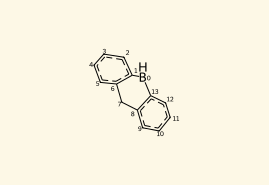 B1c2ccccc2Cc2ccccc21